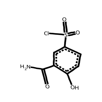 NC(=O)c1cc(S(=O)(=O)Cl)ccc1O